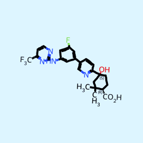 CC1(C)C[C@](O)(c2ccc(-c3cc(F)cc(Nc4nccc(C(F)(F)F)n4)c3)cn2)CC[C@H]1C(=O)O